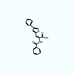 O=C(O)/C(=C\c1cc(-c2ccccc2)cs1)NC(=O)c1ccccc1